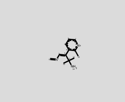 C=N/C=C(/c1cccnc1C)C(C)(C)N